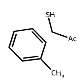 CC(=O)CS.Cc1ccccc1